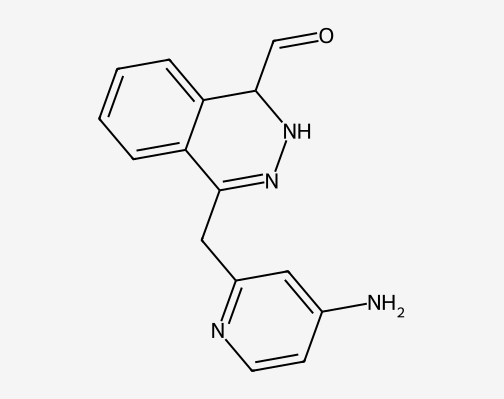 Nc1ccnc(CC2=NNC(C=O)c3ccccc32)c1